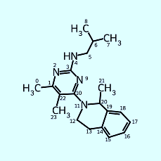 Cc1nc(NCC(C)C)nc(N2CCc3ccccc3C2C)c1C